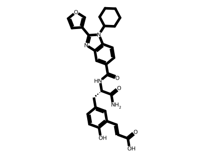 NC(=O)[C@H](Cc1ccc(O)c(C=CC(=O)O)c1)NC(=O)c1ccc2c(c1)nc(-c1ccoc1)n2C1CCCCC1